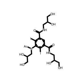 CC(=O)N(CC(O)CO)c1c(I)c(C(=O)NCC(O)CO)cc(C(=O)NCC(O)CO)c1I